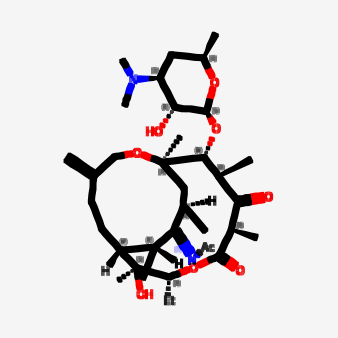 C=C1CC[C@@H]2[C@@H](C)/C(=N/C(C)=O)[C@H](C)C[C@@](C)(OC1)[C@H](O[C@@H]1O[C@H](C)C[C@H](N(C)C)[C@H]1O)[C@@H](C)C(=O)[C@@H](C)C(=O)O[C@H](CC)[C@@]2(C)O